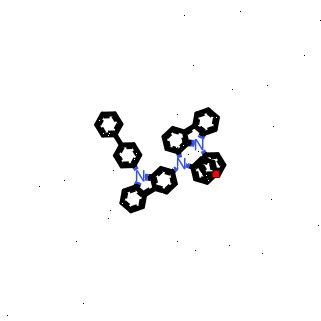 c1ccc(-c2ccc(-n3c4ccccc4c4ccc(N(c5ccccc5)c5cccc6c7ccccc7n(-c7ccccc7)c56)cc43)cc2)cc1